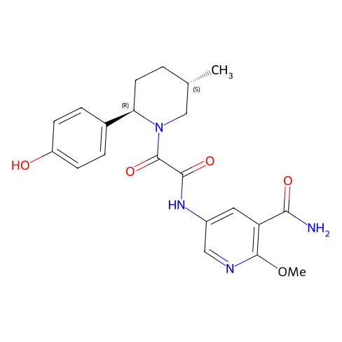 COc1ncc(NC(=O)C(=O)N2C[C@@H](C)CC[C@@H]2c2ccc(O)cc2)cc1C(N)=O